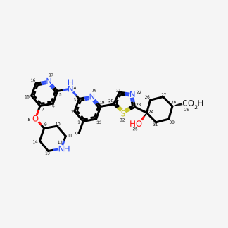 Cc1cc(Nc2cc(OC3CCNCC3)ccn2)nc(-c2cnc([C@]3(O)CC[C@@H](C(=O)O)CC3)s2)c1